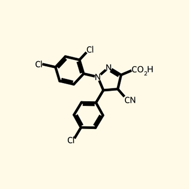 N#CC1C(C(=O)O)=NN(c2ccc(Cl)cc2Cl)C1c1ccc(Cl)cc1